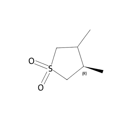 CC1CS(=O)(=O)C[C@@H]1C